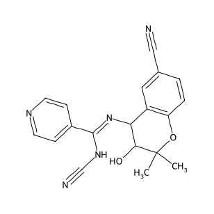 CC1(C)Oc2ccc(C#N)cc2C(N=C(NC#N)c2ccncc2)C1O